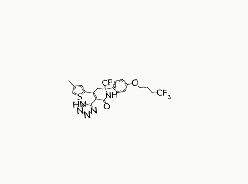 Cc1csc(C2=C(c3nnn[nH]3)C(=O)NC(c3ccc(OCCCC(F)(F)F)cc3)(C(F)(F)F)C2)c1